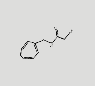 O=C(C[S])NCc1ccccc1